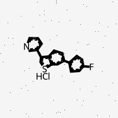 Cl.Fc1ccc(-c2ccc3c(-c4cccnc4)csc3c2)cc1